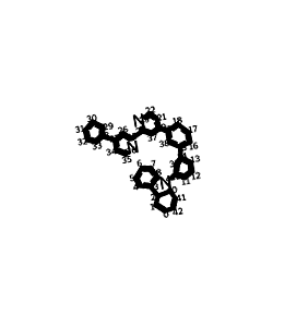 C1=CC2c3ccccc3N(c3cccc(-c4cccc(-c5ccnc(-c6cc(-c7ccccc7)ccn6)c5)c4)c3)C2C=C1